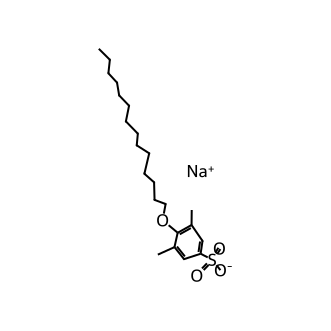 CCCCCCCCCCCCCCOc1c(C)cc(S(=O)(=O)[O-])cc1C.[Na+]